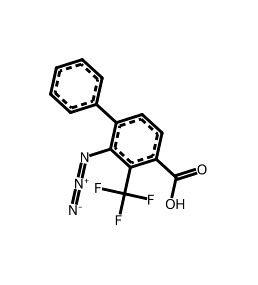 [N-]=[N+]=Nc1c(-c2ccccc2)ccc(C(=O)O)c1C(F)(F)F